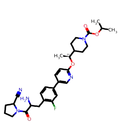 CC(C)OC(=O)N1CCC([C@H](C)Oc2ccc(-c3ccc(CC(N)C(=O)N4CCCC4C#N)c(F)c3)cn2)CC1